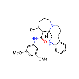 CCC1CCCN2CCc3c([nH]c4ccccc34)[C@@H]2C1C(=O)Nc1cc(OC)cc(OC)c1